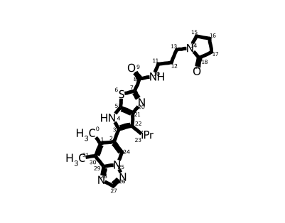 Cc1c(-c2[nH]c3sc(C(=O)NCCCN4CCCC4=O)nc3c2C(C)C)cn2ncnc2c1C